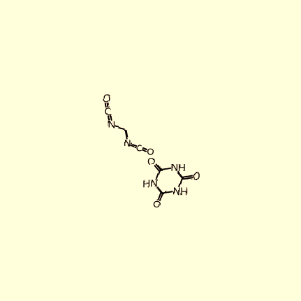 O=C=NCN=C=O.O=c1[nH]c(=O)[nH]c(=O)[nH]1